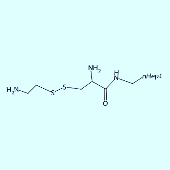 CCCCCCCCNC(=O)C(N)CSSCCN